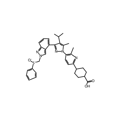 Cc1nc(C2CCC(C(=O)O)CC2)ccc1-n1nc(-c2cccc3nn(C[S+]([O-])c4ccccc4)cc23)c(C(C)C)c1C